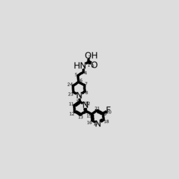 O=C(O)NCCC1CCN(c2cccc(-c3cncc(F)c3)n2)CC1